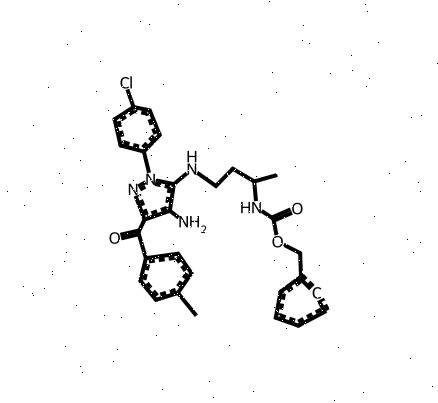 Cc1ccc(C(=O)c2nn(-c3ccc(Cl)cc3)c(NCCC(C)NC(=O)OCc3ccccc3)c2N)cc1